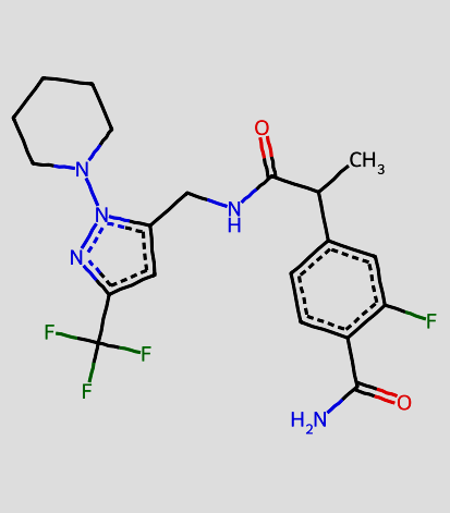 CC(C(=O)NCc1cc(C(F)(F)F)nn1N1CCCCC1)c1ccc(C(N)=O)c(F)c1